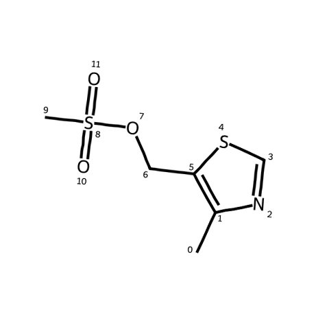 Cc1ncsc1COS(C)(=O)=O